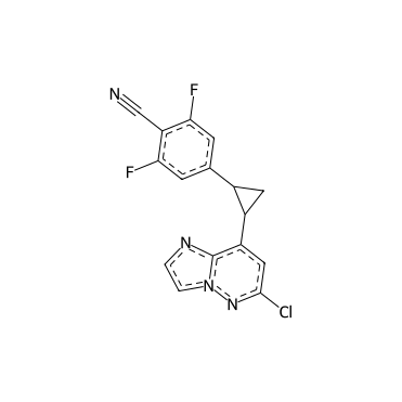 N#Cc1c(F)cc(C2CC2c2cc(Cl)nn3ccnc23)cc1F